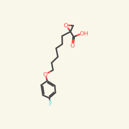 O=C(O)C1(CCCCCCOc2ccc(F)cc2)CO1